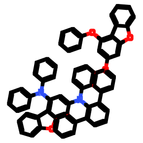 c1ccc(Oc2cc(Oc3cccc(N(c4cc(N(c5ccccc5)c5ccccc5)c5c(c4)oc4ccccc45)c4c(-c5ccccc5)cccc4-c4ccccc4)c3)cc3oc4ccccc4c23)cc1